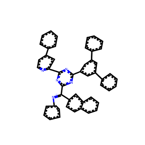 c1ccc(/N=C(\c2ccc3ccccc3c2)c2nc(-c3cc(-c4ccccc4)cc(-c4ccccc4)c3)nc(-c3cc(-c4ccccc4)ccn3)n2)cc1